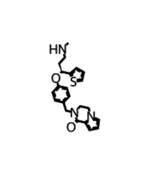 CNCC[C@H](Oc1ccc(CN2CCn3cccc3C2=O)cc1)c1cccs1